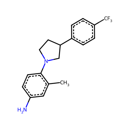 Cc1cc(N)ccc1N1CCC(c2ccc(C(F)(F)F)cc2)C1